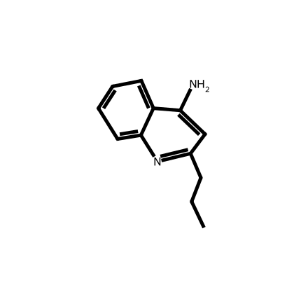 CCCc1cc(N)c2ccccc2n1